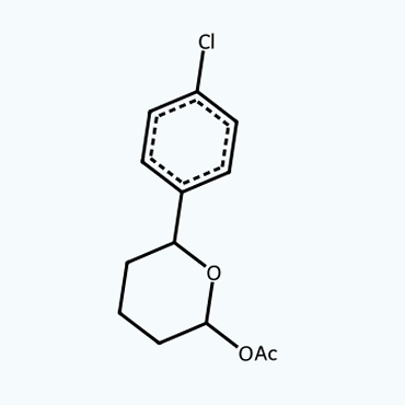 CC(=O)OC1CCCC(c2ccc(Cl)cc2)O1